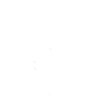 C=CCOCc1c(-c2cccc3c(CCCOc4cccc5ccccc45)c(C(=O)OCC)n(CC=C)c23)c(COc2ccccc2)nn1C